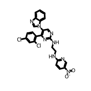 O=[N+]([O-])c1ccc(NCCNc2ncc(-n3cnc4ccccc43)c(-c3ccc(Cl)cc3Cl)n2)nc1